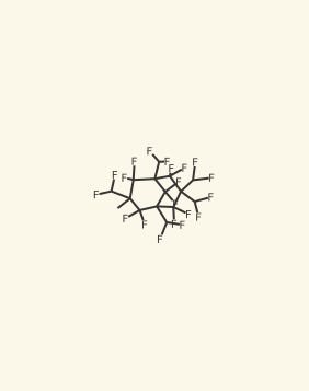 CC1(C(F)F)C(F)(F)C2(C(F)F)C(F)(F)C(C(F)F)(C(F)F)C(F)(F)C(C(F)F)(C1(F)F)C2(F)F